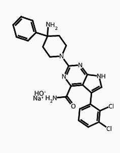 NC(=O)c1nc(N2CCC(N)(c3ccccc3)CC2)nc2[nH]cc(-c3cccc(Cl)c3Cl)c12.[Na+].[OH-]